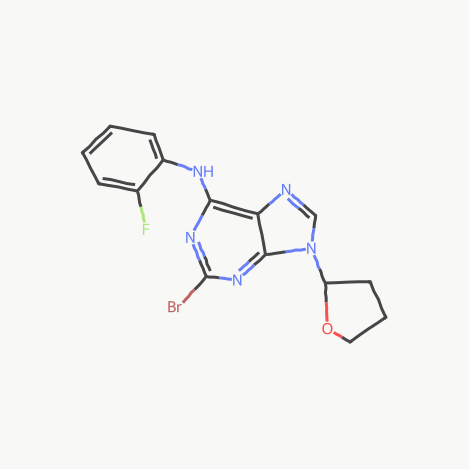 Fc1ccccc1Nc1nc(Br)nc2c1ncn2C1CCCO1